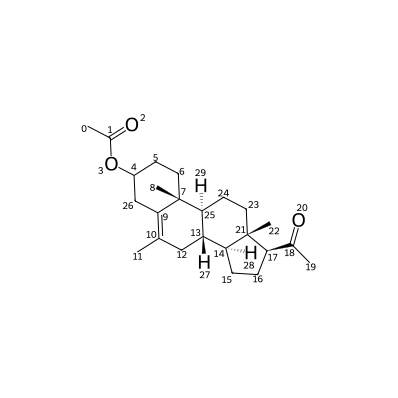 CC(=O)OC1CC[C@@]2(C)C(=C(C)C[C@H]3[C@@H]4CC[C@H](C(C)=O)[C@@]4(C)CC[C@@H]32)C1